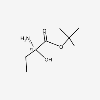 CC[C@](N)(O)C(=O)OC(C)(C)C